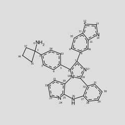 NC1(c2ccc(-c3c(-c4ccc5scnc5c4)nc4n3-c3cccnc3Nc3ccccc3-4)cc2)CCC1